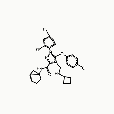 O=C(NC12CCC(CC1)C2)c1nn(-c2ccc(Cl)cc2Cl)c(Oc2ccc(Cl)cc2)c1CNC1CCC1